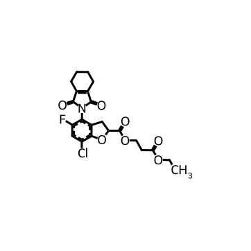 CCOC(=O)CCOC(=O)C1Cc2c(c(Cl)cc(F)c2N2C(=O)C3=C(CCCC3)C2=O)O1